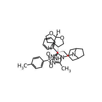 Cc1ccc(S(=O)(=O)N[C@@H](CCN2C3CCC2CC(n2c(C)nnc2[C@H]2CO[C@H]4OCC[C@H]42)C3)c2ccccc2)cc1